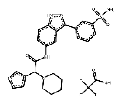 NS(=O)(=O)c1cccc(-c2n[nH]c3ccc(NC(=O)C(c4ccsc4)N4CCCCC4)cc23)c1.O=C(O)C(F)(F)F